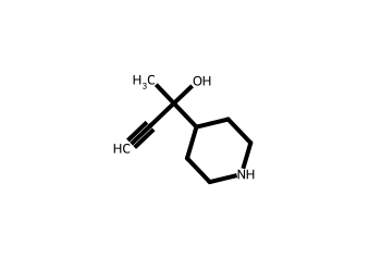 C#CC(C)(O)C1CCNCC1